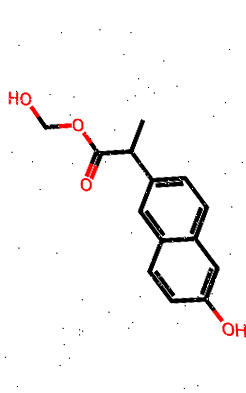 CC(C(=O)OCO)c1ccc2cc(O)ccc2c1